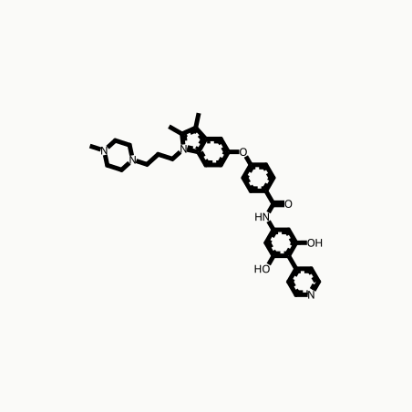 Cc1c(C)n(CCCN2CCN(C)CC2)c2ccc(Oc3ccc(C(=O)Nc4cc(O)c(-c5ccncc5)c(O)c4)cc3)cc12